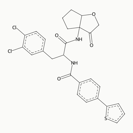 O=C(NC(Cc1ccc(Cl)c(Cl)c1)C(=O)NC12CCCC1OCC2=O)c1ccc(-c2cccs2)cc1